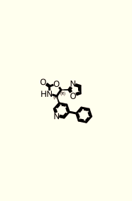 O=C1N[C@H](c2cncc(-c3ccccc3)c2)[C@H](c2ncco2)O1